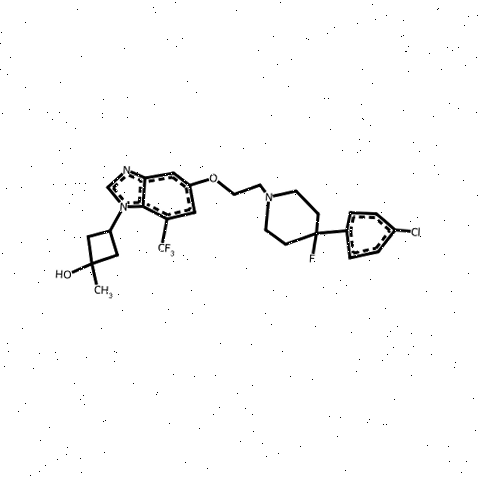 CC1(O)CC(n2cnc3cc(OCCN4CCC(F)(c5ccc(Cl)cc5)CC4)cc(C(F)(F)F)c32)C1